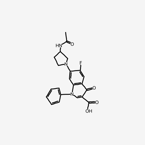 CC(=O)NC1CCN(c2cc3c(cc2F)c(=O)c(C(=O)O)cn3-c2ccccc2)C1